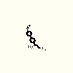 CCCC(C)c1ccc(-c2ccc(N=C=S)cc2)cc1